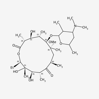 CC[C@H]1OC(=O)[C@H](C)[C@@H](O)[C@H](C)[C@@H](OC2OC(C)CC(N(C)C)C2C)[C@](C)(OC)C[C@@H](C)C(=O)[C@H](C)[C@@H](O)[C@]1(C)O